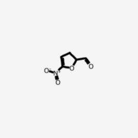 O=CC1CC=C([N+](=O)[O-])O1